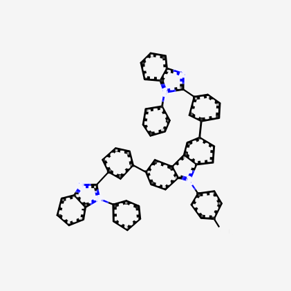 Cc1ccc(-n2c3ccc(-c4cccc(-c5nc6ccccc6n5-c5ccccc5)c4)cc3c3cc(-c4cccc(-c5nc6ccccc6n5-c5ccccc5)c4)ccc32)cc1